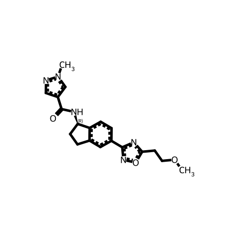 COCCc1nc(-c2ccc3c(c2)CC[C@H]3NC(=O)c2cnn(C)c2)no1